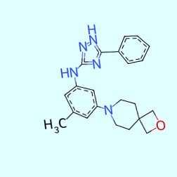 Cc1cc(Nc2n[nH]c(-c3ccccc3)n2)cc(N2CCC3(CC2)COC3)c1